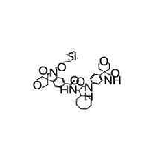 C[Si](C)(C)CCOCN1C(=O)C2(CCOCC2)c2ccc(C(=O)NC(C(=O)Nc3ccc4c(c3)NC(=O)C43CCOCC3)C3CCCCCCC3)cc21